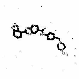 CN1CCN(Cc2ccc(NC(=O)c3ccc4nc(-c5cccc6nonc56)[nH]c4c3)cc2)CC1